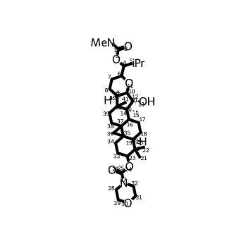 CNC(=O)OC(C(C)C)C1CC[C@H]2C(O1)[C@H](O)[C@@]1(C)C3CC[C@H]4C(C)(C)C(OC(=O)N5CCOCC5)CCC45CC35CCC21C